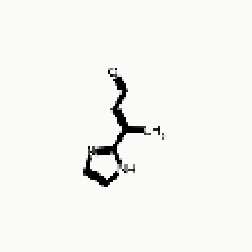 CC(=CC=O)c1ncc[nH]1